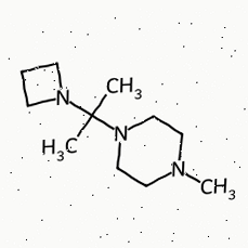 CN1CCN(C(C)(C)N2CCC2)CC1